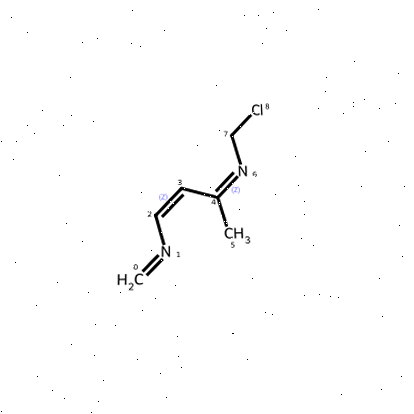 C=N/C=C\C(C)=N/CCl